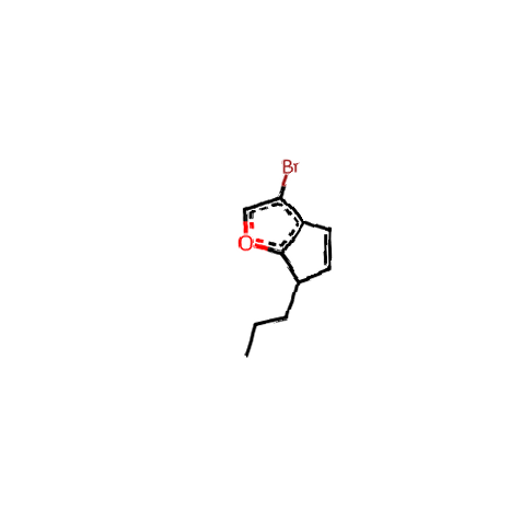 CCCC1C=Cc2c(Br)coc21